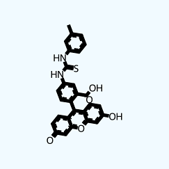 Cc1cccc(NC(=S)Nc2ccc(-c3c4ccc(=O)cc-4oc4cc(O)ccc34)c(C(=O)O)c2)c1